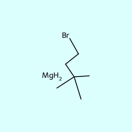 CC(C)(C)CCBr.[MgH2]